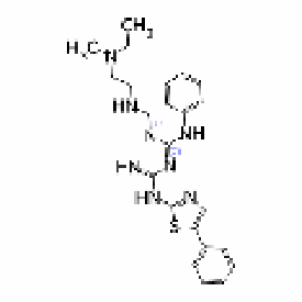 CCN(C)CCN/C=N/C(=N\C(=N)Nc1ncc(-c2ccccc2)s1)Nc1ccccc1